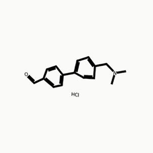 CN(C)Cc1ccc(-c2ccc(C=O)cc2)cc1.Cl